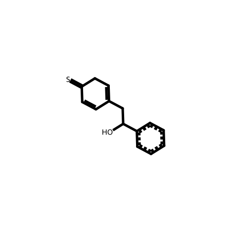 OC(CC1=CCC(=S)C=C1)c1ccccc1